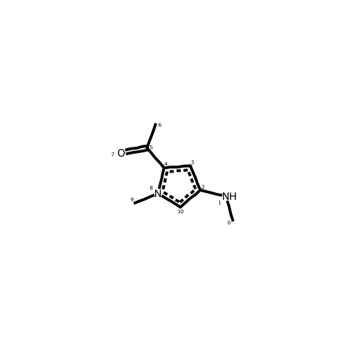 CNc1cc(C(C)=O)n(C)c1